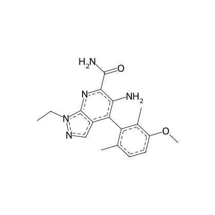 CCn1ncc2c(-c3c(C)ccc(OC)c3C)c(N)c(C(N)=O)nc21